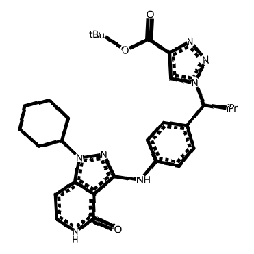 CC(C)C(c1ccc(Nc2nn(C3CCCCC3)c3cc[nH]c(=O)c23)cc1)n1cc(C(=O)OC(C)(C)C)nn1